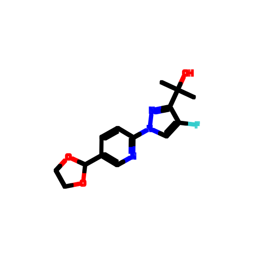 CC(C)(O)c1nn(-c2ccc(C3OCCO3)cn2)cc1F